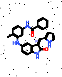 Cc1ccc(NC(=O)c2ccccc2)cc1Nc1ccc2c(c1)/C(=C/c1ccc[nH]1)C(=O)N2